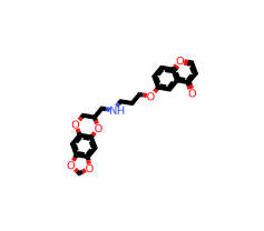 O=c1ccoc2ccc(OCCCNCC3COc4cc5c(cc4O3)OCO5)cc12